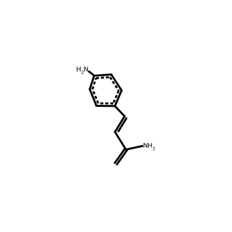 C=C(N)/C=C/c1ccc(N)cc1